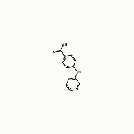 O=C(O)c1ccc(Pc2ccccc2)cc1